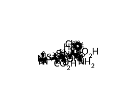 Cn1nnnc1SCC1=C(C(=O)O)N2C(=O)C(NC(=O)C(Sc3c(Cl)cccc3C(=O)O)c3csc(N)n3)[C@H]2SC1